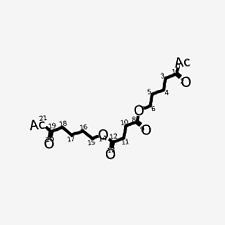 CC(=O)C(=O)CCCCOC(=O)CCC(=O)OCCCCC(=O)C(C)=O